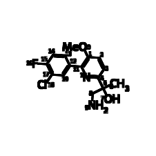 COc1ccc(C(C)(O)CN)nc1-c1ccc(F)c(Cl)c1